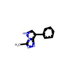 Cc1nnc2c(-c3ccccc3)c[nH]n12